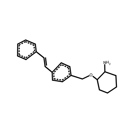 NC1CCCCC1OCc1ccc(C=Cc2ccccc2)cc1